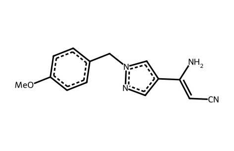 COc1ccc(Cn2cc(C(N)=CC#N)cn2)cc1